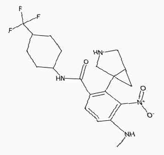 CNc1ccc(C(=O)NC2CCC(C(F)(F)F)CC2)c(C23CNCC2C3)c1[N+](=O)[O-]